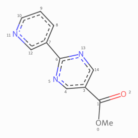 COC(=O)c1cnc(-c2cccnc2)nc1